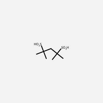 CC(C)(CC(C)(C)S(=O)(=O)O)S(=O)(=O)O